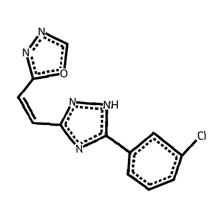 Clc1cccc(-c2nc(/C=C\c3nnco3)n[nH]2)c1